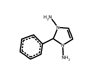 NN1C=CN(N)C1c1ccccc1